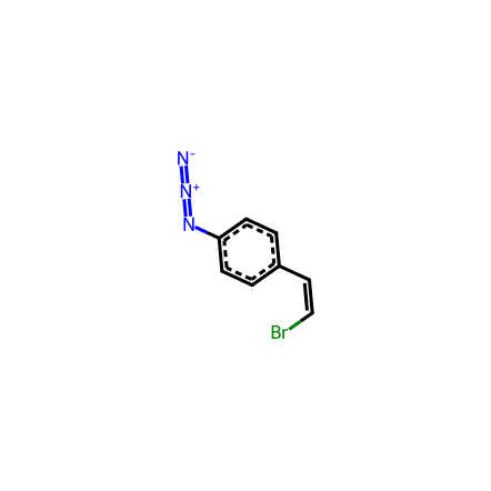 [N-]=[N+]=Nc1ccc(/C=C\Br)cc1